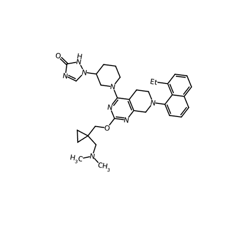 CCc1cccc2cccc(N3CCc4c(nc(OCC5(CN(C)C)CC5)nc4N4CCCC(n5cnc(=O)[nH]5)C4)C3)c12